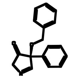 O=C1CN=C[C@@]1(OCc1ccccc1)c1ccccc1